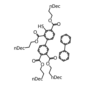 CCCCCCCCCCCCOC(=O)c1ccc(-c2ccc(C(=O)OCCCCCCCCCCCC)c(S)c2C(=O)OCCCCCCCCCCCC)cc1C(=O)OCCCCCCCCCCCC.c1ccc(-c2ccccc2)cc1